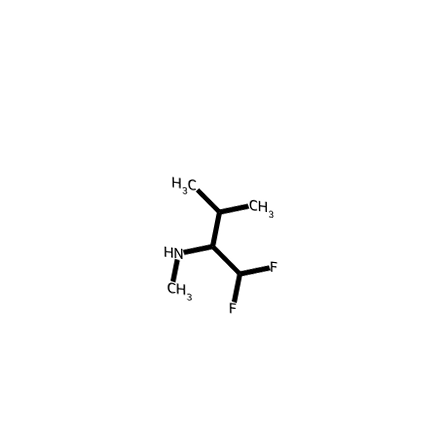 CNC(C(C)C)C(F)F